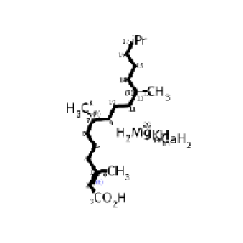 C/C(=C\C(=O)O)CCC[C@H](C)CCC[C@H](C)CCCC(C)C.[CaH2].[KH].[MgH2]